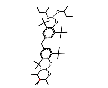 CCC(C)OB(Oc1c(C(C)(C)C)cc(Cc2cc(C(C)(C)C)c(OB(OC(C)CC)OC(C)CC)c(C(C)(C)C)c2)cc1C(C)(C)C)OC(C)CC